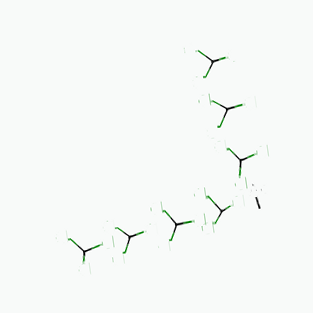 CC(C)=O.ClC(Cl)Cl.ClC(Cl)Cl.ClC(Cl)Cl.ClC(Cl)Cl.ClC(Cl)Cl.ClC(Cl)Cl.ClC(Cl)Cl